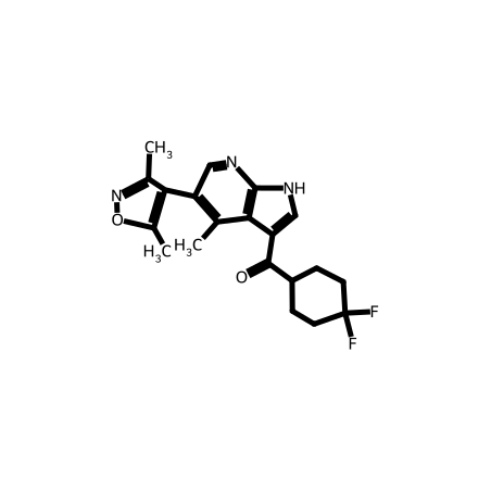 Cc1noc(C)c1-c1cnc2[nH]cc(C(=O)C3CCC(F)(F)CC3)c2c1C